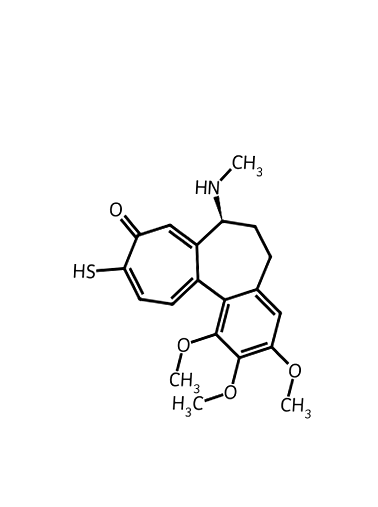 CN[C@H]1CCc2cc(OC)c(OC)c(OC)c2-c2ccc(S)c(=O)cc21